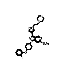 CNc1cc2c(cn1)c(-c1cnn(CCN3CCOCC3)c1)nn2C1CCC(Oc2ccccc2F)CC1